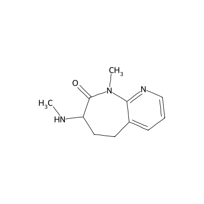 CNC1CCc2cccnc2N(C)C1=O